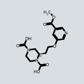 COC(=O)c1cncc(OCC[C@@H]2CN(C(=O)O)CCN2C(=O)O)c1